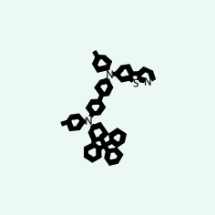 Cc1ccc(N(c2ccc(-c3ccc(N(c4ccc(C)cc4)c4ccc5c(c4)sc4ncccc45)cc3)cc2)c2ccc3c(c2)-c2ccccc2C3(c2ccccc2)c2ccccc2)cc1